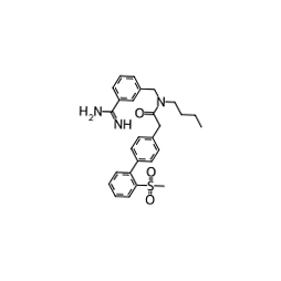 CCCCN(Cc1cccc(C(=N)N)c1)C(=O)Cc1ccc(-c2ccccc2S(C)(=O)=O)cc1